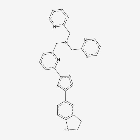 c1cnc(CN(Cc2cccc(-c3ncc(-c4ccc5c(c4)CCN5)s3)n2)Cc2ncccn2)nc1